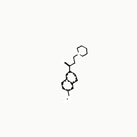 COc1ccc2cc(C(=O)CCN3CCCCC3)ccc2c1